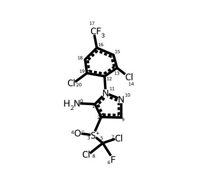 Nc1c([S+]([O-])C(F)(Cl)Cl)cnn1-c1c(Cl)cc(C(F)(F)F)cc1Cl